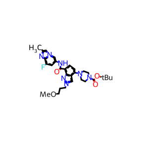 COCCCn1cc2c(N3CCN(C(=O)OC(C)(C)C)CC3)ccc(C(=O)Nc3cc(F)c4nc(C)cn4c3)c2n1